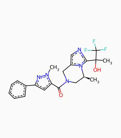 C[C@H]1CN(C(=O)c2cc(-c3ccccc3)nn2C)Cc2cnc(C(C)(O)C(F)(F)F)n21